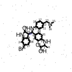 CC(Nc1ccc(/C(Nc2ccc(CN(C)C)cc2)=C2/C(=O)Nc3cc(Br)ccc32)cc1)C(=O)O